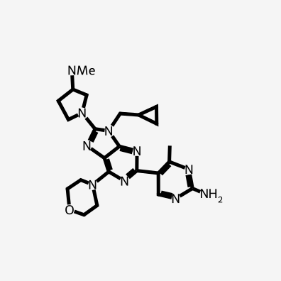 CNC1CCN(c2nc3c(N4CCOCC4)nc(-c4cnc(N)nc4C)nc3n2CC2CC2)C1